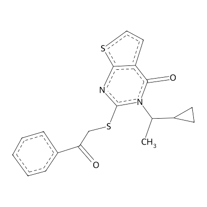 CC(C1CC1)n1c(SCC(=O)c2ccccc2)nc2sccc2c1=O